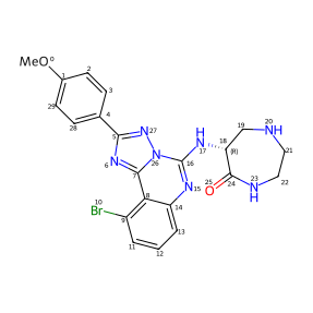 COc1ccc(-c2nc3c4c(Br)cccc4nc(N[C@@H]4CNCCNC4=O)n3n2)cc1